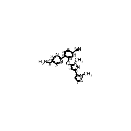 Cn1nc(-c2ccnn2C)cc1Oc1cc(C#N)ccc1-c1ncc(CN)cn1